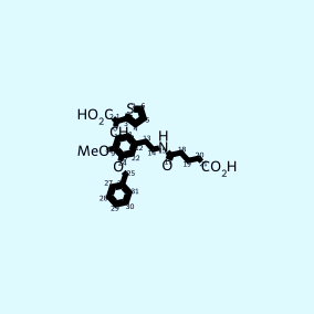 CC(C(=O)O)c1cccs1.COc1ccc(CCNC(=O)CCCC(=O)O)cc1OCc1ccccc1